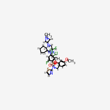 COc1ccc(CN(c2nccs2)S(=O)(=O)c2cc(Cl)c(NC3CCCC[C@@H]3N(CC(F)(F)F)C3CN(C)C3)cc2F)c(OC)c1